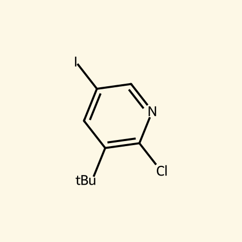 CC(C)(C)c1cc(I)cnc1Cl